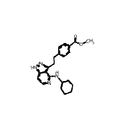 COC(=O)c1ccc(CCc2n[nH]c3ccnc(NC4CCCCC4)c23)cc1